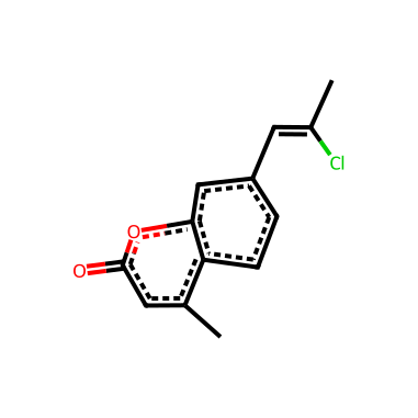 CC(Cl)=Cc1ccc2c(C)cc(=O)oc2c1